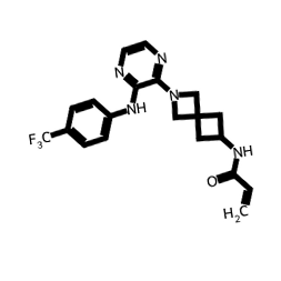 C=CC(=O)NC1CC2(C1)CN(c1nccnc1Nc1ccc(C(F)(F)F)cc1)C2